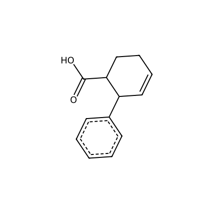 O=C(O)C1CCC=CC1c1ccccc1